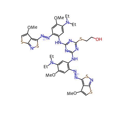 CCN(CC)c1cc(Nc2nc(Nc3cc(N(CC)CC)c(OC)cc3/N=N/c3snc4scc(OC)c34)nc(SCCO)n2)c(/N=N/c2snc3scc(OC)c23)cc1OC